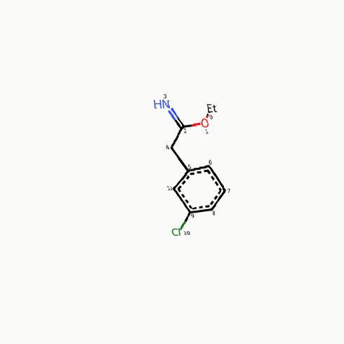 CCOC(=N)Cc1cccc(Cl)c1